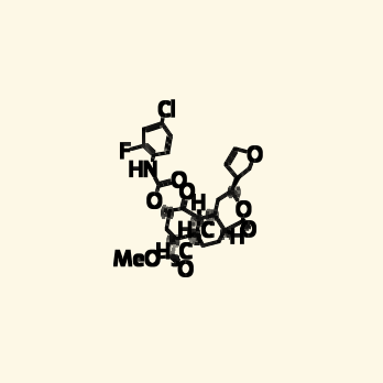 COC(=O)[C@@H]1C[C@H](OC(=O)Nc2ccc(Cl)cc2F)C(=O)[C@H]2[C@@]1(C)CC[C@H]1C(=O)O[C@H](C3C=COC3)C[C@]21C